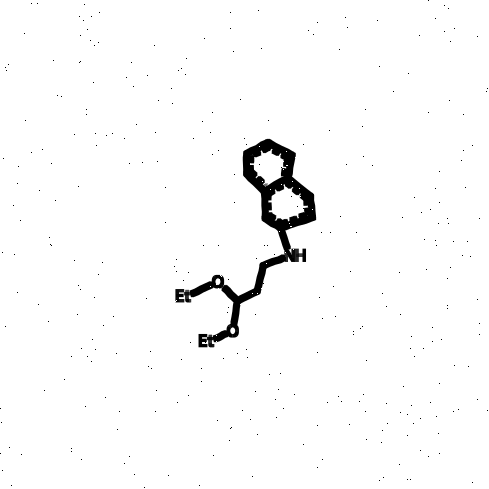 CCOC(CCNc1ccc2ccccc2c1)OCC